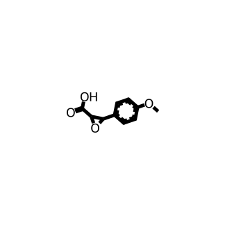 COc1ccc(C2OC2C(=O)O)cc1